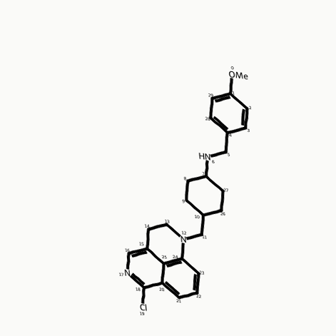 COc1ccc(CNC2CCC(CN3CCc4cnc(Cl)c5cccc3c45)CC2)cc1